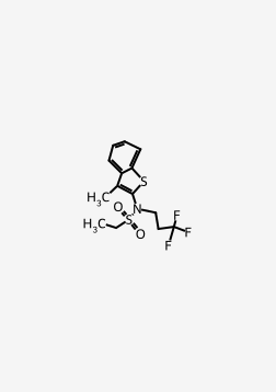 CCS(=O)(=O)N(CCC(F)(F)F)c1sc2ccccc2c1C